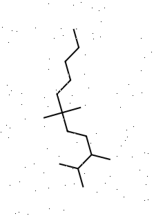 [CH2]CCCCC(C)(C)CCC(C)C(C)C